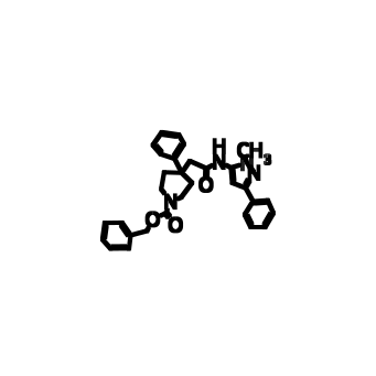 Cn1nc(-c2ccccc2)cc1NC(=O)CC1(c2ccccc2)CCN(C(=O)OCc2ccccc2)CC1